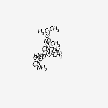 Cc1cc(OCC(C)C)nn1-c1ccc(C(=O)NS(=O)(=O)c2cccc(N)n2)c(N2CCC(C)C2(C)C)n1